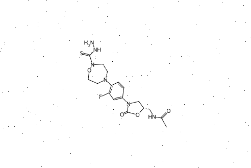 CC(=O)NC[C@H]1CN(c2ccc(N3CCON(C(=S)NN)CC3)c(F)c2)C(=O)O1